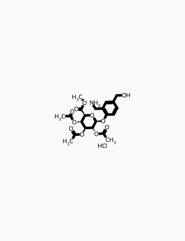 COC(=O)[C@H]1O[C@@H](Oc2ccc(CO)cc2CN)[C@H](OC(C)=O)[C@@H](OC(C)=O)[C@@H]1OC(C)=O.Cl